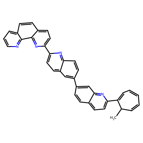 CC1C=CC=CC=C1c1ccc2ccc(-c3ccc4nc(-c5ccc6ccc7cccnc7c6n5)ccc4c3)cc2n1